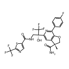 C[C@]1(C(N)=O)COc2c1cc([C@@](O)(CNC(=O)c1cnc(C(F)(F)F)s1)C(F)(F)F)nc2-c1ccc(F)cc1